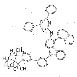 CC1(C)c2ccc(-c3cccc(-n4c5ccccc5c5c6c7c8ccccc8ccc7n(-c7nc(-c8ccccc8)nc(-c8ccccc8)n7)c6ccc54)c3)cc2C(C)(C)C1(C)C